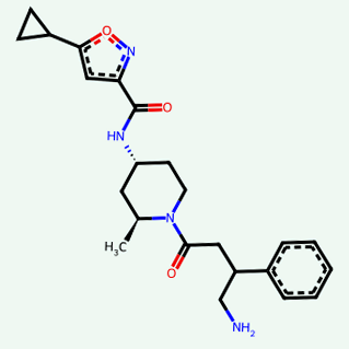 C[C@H]1C[C@H](NC(=O)c2cc(C3CC3)on2)CCN1C(=O)CC(CN)c1ccccc1